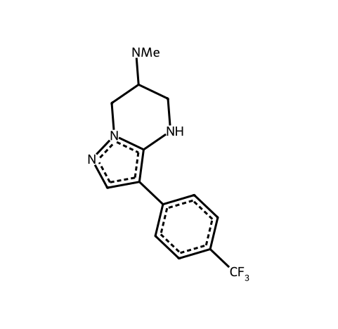 CNC1CNc2c(-c3ccc(C(F)(F)F)cc3)cnn2C1